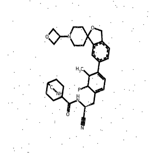 CC1C(c2ccc3c(c2)C2(CCN(C4COC4)CC2)OC3)=CC=C(C[C@@H](C#N)NC(=O)C23CCC(CC2)CN3)C1F